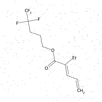 C=C/C=C(\CC)C(=O)OCCCC(F)(F)C(F)(F)F